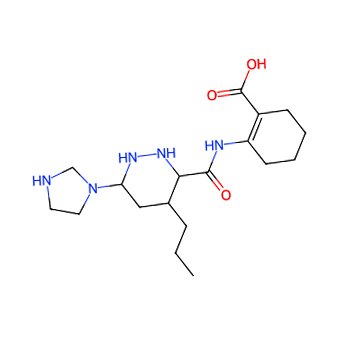 CCCC1CC(N2CCNC2)NNC1C(=O)NC1=C(C(=O)O)CCCC1